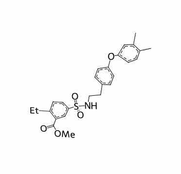 CCc1ccc(S(=O)(=O)NCCc2ccc(Oc3ccc(C)c(C)c3)cc2)cc1C(=O)OC